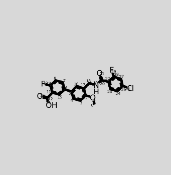 COc1ccc(-c2ccc(F)c(C(=O)O)c2)cc1CNC(=O)c1ccc(Cl)cc1F